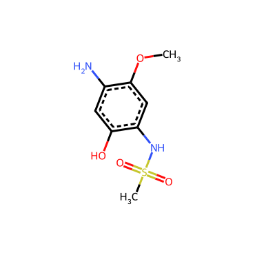 COc1cc(NS(C)(=O)=O)c(O)cc1N